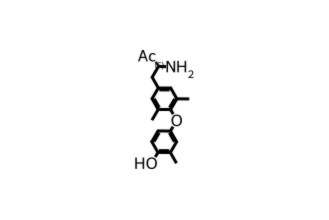 CC(=O)[C@@H](N)Cc1cc(C)c(Oc2ccc(O)c(C)c2)c(C)c1